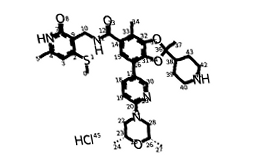 CSc1cc(C)[nH]c(=O)c1CNC(=O)c1cc(-c2ccc(N3C[C@@H](C)O[C@@H](C)C3)nc2)c2c(c1C)OC(C)(C1CCNCC1)O2.Cl